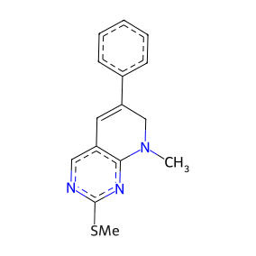 CSc1ncc2c(n1)N(C)CC(c1ccccc1)=C2